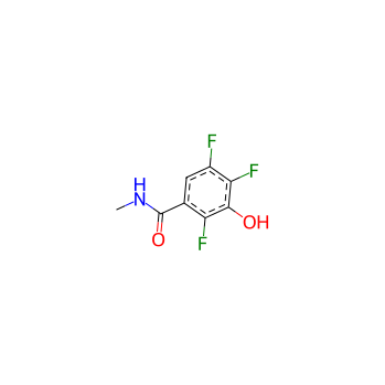 CNC(=O)c1cc(F)c(F)c(O)c1F